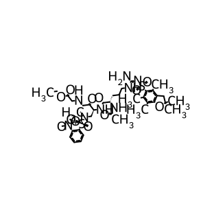 CCOC(=O)CNCC(=O)[C@H](CN(C)S(=O)(=O)c1ccccc1[N+](=O)[O-])NC(=O)[C@H](CCCN/C(N)=N\S(=O)(=O)c1c(C)c(C)c2c(c1C)CC(C)(C)O2)NC(C)=O